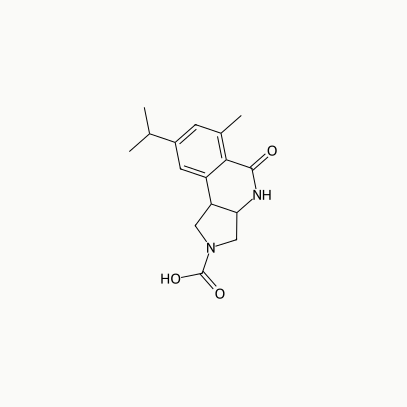 Cc1cc(C(C)C)cc2c1C(=O)NC1CN(C(=O)O)CC21